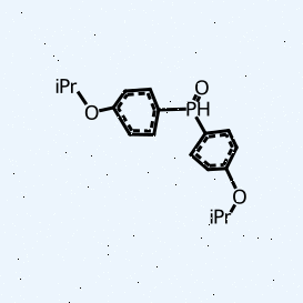 CC(C)Oc1ccc([PH](=O)c2ccc(OC(C)C)cc2)cc1